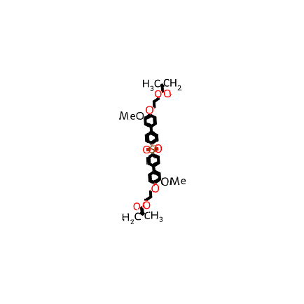 C=C(C)C(=O)OCCCOc1ccc(-c2ccc(S(=O)(=O)c3ccc(-c4ccc(OCCCOC(=O)C(=C)C)c(OC)c4)cc3)cc2)cc1OC